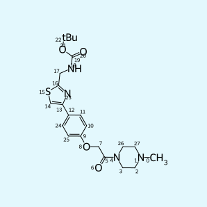 CN1CCN(C(=O)COc2ccc(-c3csc(CNC(=O)OC(C)(C)C)n3)cc2)CC1